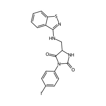 O=C1NC(CNc2nsc3ccccc23)C(=O)N1c1ccc(I)cc1